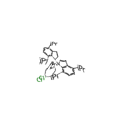 CC(C)c1ccc(C(C)C)c2c1C=C[CH]2[Zr+2]1([CH]2C=Cc3c(C(C)C)ccc(C(C)C)c32)[CH2]CCC[CH2]1.[Cl-].[Cl-]